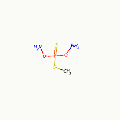 CSP(=S)(ON)ON